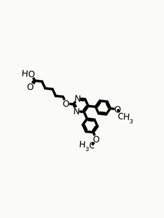 COc1ccc(-c2cnc(OCCCCCC(=O)O)nc2-c2ccc(OC)cc2)cc1